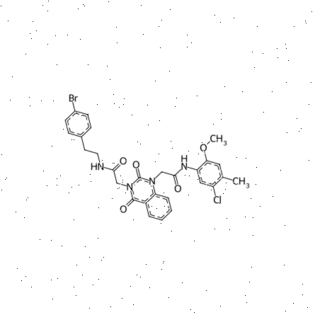 COc1cc(C)c(Cl)cc1NC(=O)Cn1c(=O)n(CC(=O)NCCc2ccc(Br)cc2)c(=O)c2ccccc21